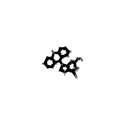 Nc1nc2c(ncn2C2c3ccccc3Oc3ccccc32)c(=O)[nH]1